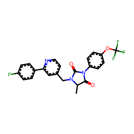 CC1C(=O)N(c2ccc(OC(F)(F)F)cc2)C(=O)N1Cc1ccnc(-c2ccc(F)cc2)c1